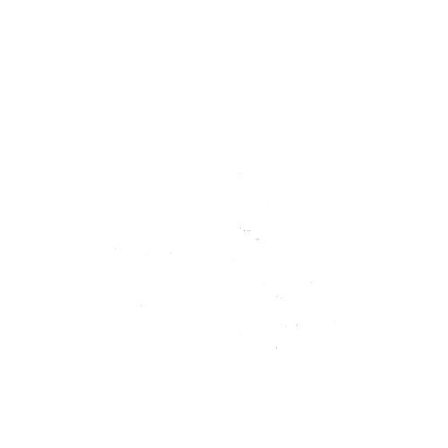 CCCCCc1cccc(-n2c3ccc(-n4c5c(c6ccccc64)CCC=C5)cc3c3cc(-n4c5ccccc5c5ccccc54)ccc32)c1